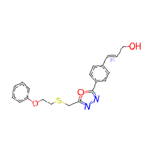 OC/C=C/c1ccc(-c2nnc(CSCCOc3ccccc3)o2)cc1